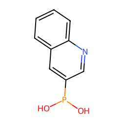 OP(O)c1cnc2ccccc2c1